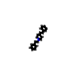 c1ccc(CCC2CCN(CCc3ccccc3)CC2)cc1